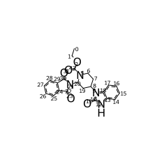 CCOC(=O)N1CCC(n2c(=O)[nH]c3ccccc32)CC1N1C(=O)c2ccccc2C1=O